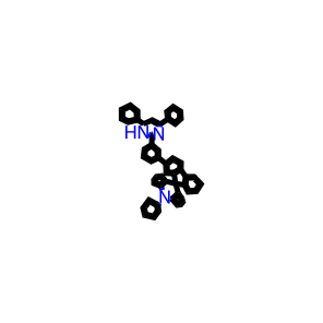 C1=C(c2ccccc2)N=C(c2cccc(-c3ccc4c(c3)C3(c5ccccc5-4)c4ccccc4N(c4ccccc4)c4ccccc43)c2)NC1c1ccccc1